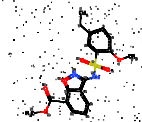 CCc1ccc(OC)c(S(=O)(=O)Nc2noc3c(C(=O)OC)cccc23)c1